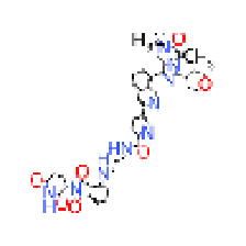 C[C@@H]1C(=O)N(C)Cc2c(-c3cccc4cc(-c5ccc(C(=O)NCCCNc6cccc7c6C(=O)N(C6CCC(=O)NC6=O)C7=O)nc5)ncc34)nc(C3CCOCC3)n21